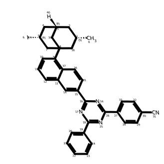 C[C@H]1C[C@H]2C[C@@H](I)CC(c3cccc4cc(-c5nc(-c6ccccc6)nc(-c6ccc(C#N)cc6)n5)ccc34)(C1)C2